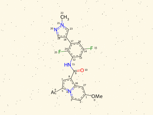 COc1ccn2c(C(C)=O)cc(C(=O)Nc3cc(F)cc(-c4cnn(C)c4)c3F)c2c1